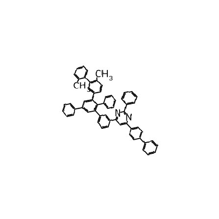 Cc1ccccc1-c1cc(-c2cc(-c3ccccc3)cc(-c3cccc(-c4cc(-c5ccc(-c6ccccc6)cc5)nc(-c5ccccc5)n4)c3)c2-c2ccccc2)ccc1C